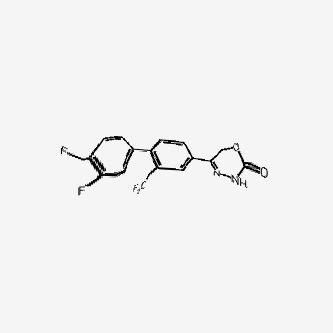 O=C1NN=C(c2ccc(-c3ccc(F)c(F)c3)c(C(F)(F)F)c2)CO1